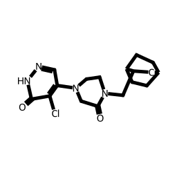 O=C1CN(c2cn[nH]c(=O)c2Cl)CCN1CC1CC2CCC1CC2